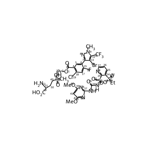 CC(C)OC(=O)c1cc(-c2nn(C)c(C(F)(F)F)c2Br)c(F)cc1Cl.CCS(=O)(=O)c1cccnc1S(=O)(=O)NC(=O)Nc1nc(OC)cc(OC)n1.CP(=O)(O)CCC(N)C(=O)O